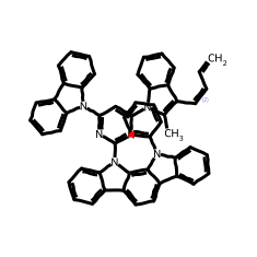 C=C/C=C\c1c(C)n(-c2cc(-n3c4ccccc4c4ccccc43)nc(-n3c4ccccc4c4ccc5c6ccccc6n(-c6ccccc6)c5c43)n2)c2ccccc12